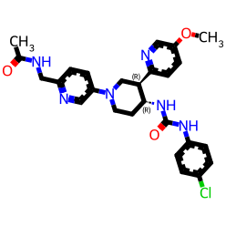 COc1ccc([C@@H]2CN(c3ccc(CNC(C)=O)nc3)CC[C@H]2NC(=O)Nc2ccc(Cl)cc2)nc1